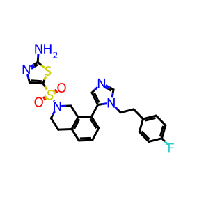 Nc1ncc(S(=O)(=O)N2CCc3cccc(-c4cncn4CCc4ccc(F)cc4)c3C2)s1